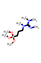 C/N=C(\N(C)C)N(C)CCC[Si](OC)(OC)OC